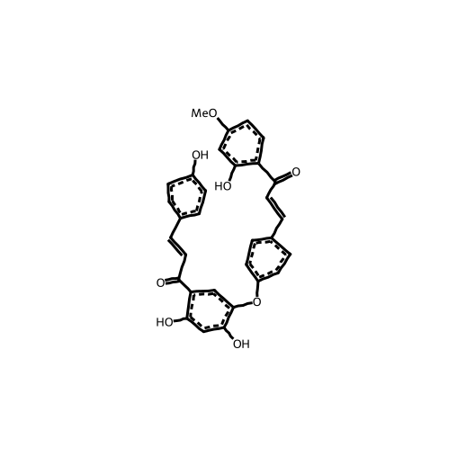 COc1ccc(C(=O)/C=C/c2ccc(Oc3cc(C(=O)/C=C/c4ccc(O)cc4)c(O)cc3O)cc2)c(O)c1